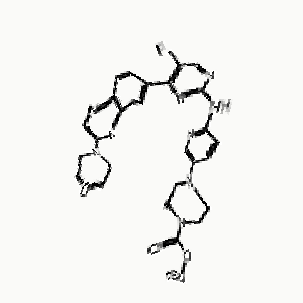 CC(C)(C)OC(=O)N1CCN(c2ccc(Nc3ncc(F)c(-c4ccc5ncc(N6CCOCC6)nc5c4)n3)nc2)CC1